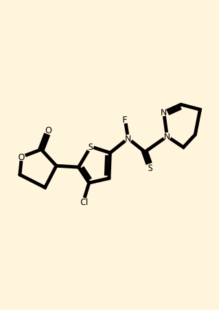 O=C1OCCC1c1sc(N(F)C(=S)N2CCCC=N2)cc1Cl